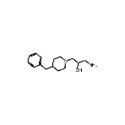 NCC(O)CN1CCC(Cc2ccccc2)CC1